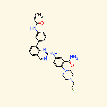 C=CC(=O)Nc1cccc(-c2cccc3cnc(Nc4ccc(N5CCN(CCF)CC5)c(C(N)=O)c4)nc23)c1